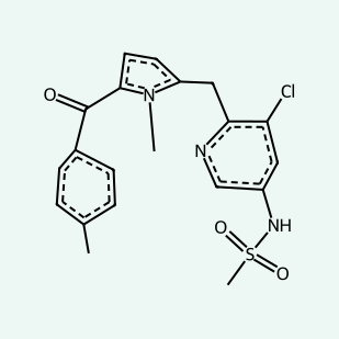 Cc1ccc(C(=O)c2ccc(Cc3ncc(NS(C)(=O)=O)cc3Cl)n2C)cc1